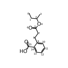 CCC(C)OC(=O)CCc1ccccc1C(=O)O